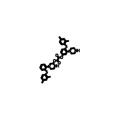 Cc1ccc(Sc2ccc(OC(=O)C(=O)OC3CN(c4ccccc4Sc4ccc(C)cc4C)CCN3)cc2N2CCNCC2)c(C)c1